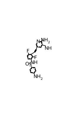 N=Cc1cc(C#Cc2c(F)ccc(N[S+]([O-])c3ccc(N)cc3)c2F)cnc1N